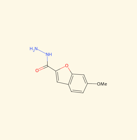 COc1ccc2cc(C(=O)NN)oc2c1